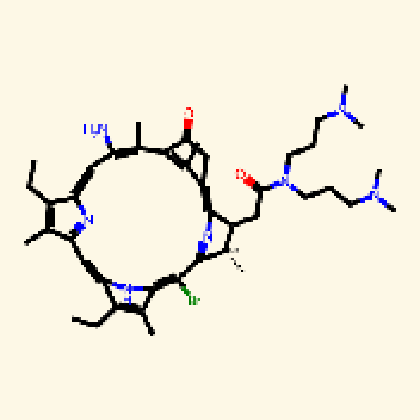 CCC1=C(C)c2cc3[nH]c(c(C)c3CC)c(Br)c3nc(c4c(C)c(c(C)c(N)cc1n2)C(=O)C4)C(CC(=O)N(CCCN(C)C)CCCN(C)C)[C@@H]3C